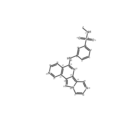 CNS(=O)(=O)c1cccc(Nc2nc3c(nn4ccncc34)c3cnccc23)c1